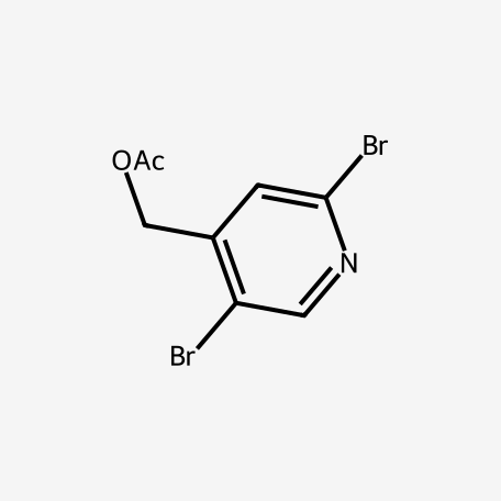 CC(=O)OCc1cc(Br)ncc1Br